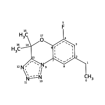 CCc1cc(F)c2c(c1)-n1nnnc1C(C)(C)O2